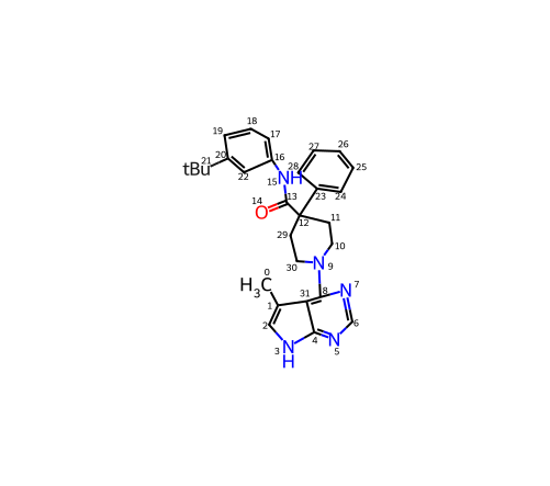 Cc1c[nH]c2ncnc(N3CCC(C(=O)Nc4cccc(C(C)(C)C)c4)(c4ccccc4)CC3)c12